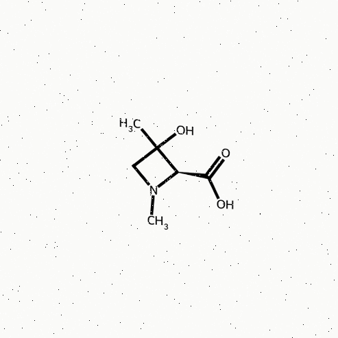 CN1CC(C)(O)[C@H]1C(=O)O